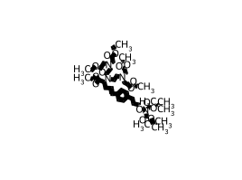 CCOC(=O)CN(CCN(CCN(CC1OC(C)O1)CC1OC(C)O1)C(C/C=C/c1ccc(CCCON(C(=O)OC(C)(C)C)C(=O)OC(C)(C)C)cc1)C1OC(C)O1)CC(=O)OCC